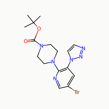 CC(C)(C)OC(=O)N1CCN(c2ncc(Br)cc2-n2ccnn2)CC1